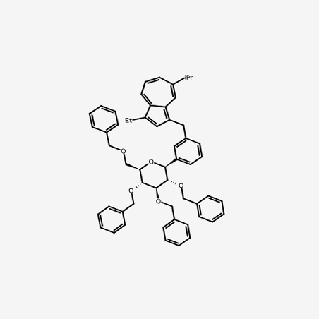 CCc1cc(Cc2cccc([C@@H]3O[C@H](COCc4ccccc4)[C@@H](OCc4ccccc4)[C@H](OCc4ccccc4)[C@H]3OCc3ccccc3)c2)c2cc(C(C)C)cccc1-2